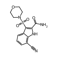 N#Cc1cccc2c(S(=O)(=O)N3CCOCC3)c(C(N)=O)[nH]c12